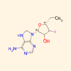 CC[C@H]1O[C@@H](N2CNc3c(N)ncnc32)C(O)C1I